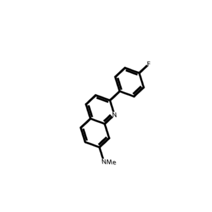 CNc1ccc2ccc(-c3ccc(F)cc3)nc2c1